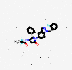 CC(F)(F)C(=O)NC1CC(=O)N(c2ccc3c(cnn3Cc3ccccc3F)c2)[C@@H]1c1ccccc1